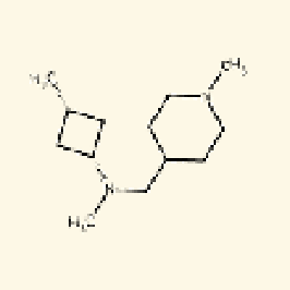 CN1CCC(CN(C)[C@H]2C[C@@H](C)C2)CC1